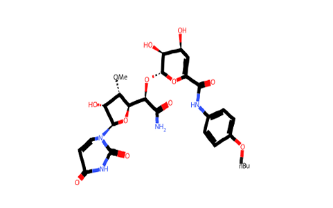 CCCCOc1ccc(NC(=O)C2=C[C@H](O)[C@H](O)[C@@H](O[C@@H](C(N)=O)[C@H]3O[C@@H](n4ccc(=O)[nH]c4=O)[C@H](O)[C@@H]3OC)O2)cc1